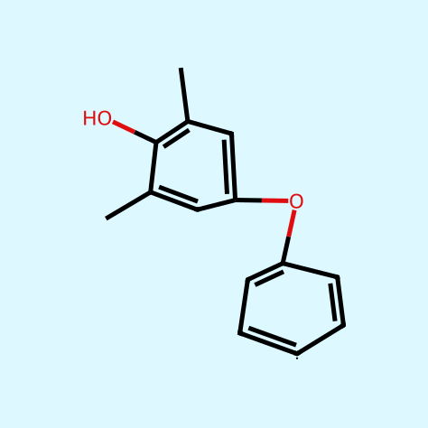 Cc1cc(Oc2cc[c]cc2)cc(C)c1O